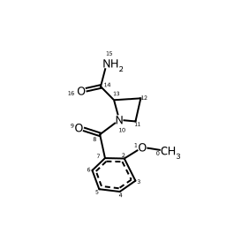 COc1ccccc1C(=O)N1CCC1C(N)=O